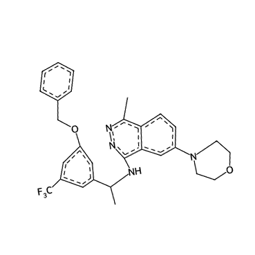 Cc1nnc(NC(C)c2cc(OCc3ccccc3)cc(C(F)(F)F)c2)c2cc(N3CCOCC3)ccc12